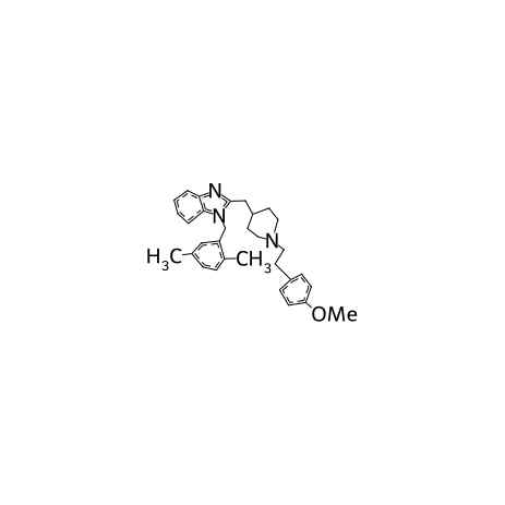 COc1ccc(CCN2CCC(Cc3nc4ccccc4n3Cc3cc(C)ccc3C)CC2)cc1